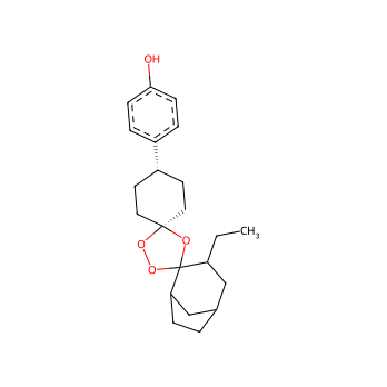 CCC1CC2CCC(C2)C12OO[C@]1(CC[C@@H](c3ccc(O)cc3)CC1)O2